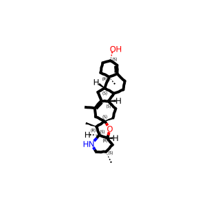 CC1=C2C[C@H]3C(CCC4=C[C@@H](O)CC[C@@]43C)[C@@H]2CC[C@@]2(C1)O[C@@H]1C[C@H](C)CN[C@H]1[C@H]2C